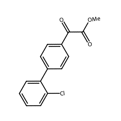 COC(=O)C(=O)c1ccc(-c2ccccc2Cl)cc1